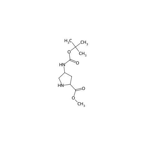 COC(=O)C1CC(NC(=O)OC(C)(C)C)CN1